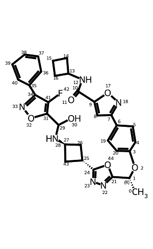 C[C@@H](Oc1ccc(-c2cc(C(=O)NC3CCC3)on2)cc1)c1nnc([C@H]2C[C@H](NC(O)c3onc(-c4ccccc4)c3F)C2)o1